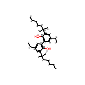 CCCCCC(C)(C)c1cc(CC)cc(-c2cc(CC)cc(C(C)(C)CCCCC)c2O)c1O